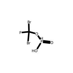 O=[PH](O)OC(F)(Br)Br